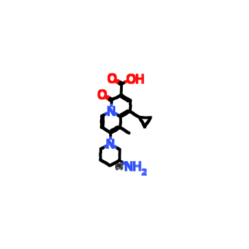 Cc1c(N2CCC[C@H](N)C2)ccn2c(=O)c(C(=O)O)cc(C3CC3)c12